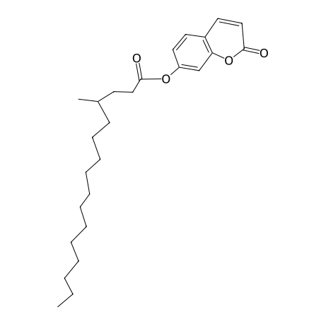 CCCCCCCCCCCCC(C)CCC(=O)Oc1ccc2ccc(=O)oc2c1